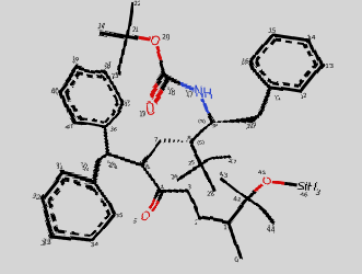 CC(CCC(=O)C(C[C@H]([C@H](Cc1ccccc1)NC(=O)OC(C)(C)C)C(C)(C)C)C(c1ccccc1)c1ccccc1)C(C)(C)O[SiH3]